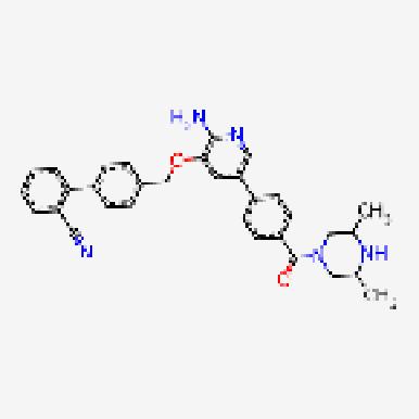 CC1CN(C(=O)c2ccc(-c3cnc(N)c(OCc4ccc(-c5ccccc5C#N)cc4)c3)cc2)CC(C)N1